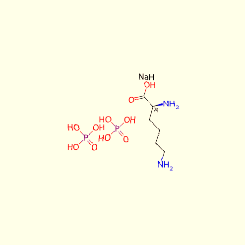 NCCCC[C@H](N)C(=O)O.O=P(O)(O)O.O=P(O)(O)O.[NaH]